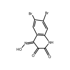 O=C1Nc2cc(Br)c(Br)cc2C(=NO)C1=O